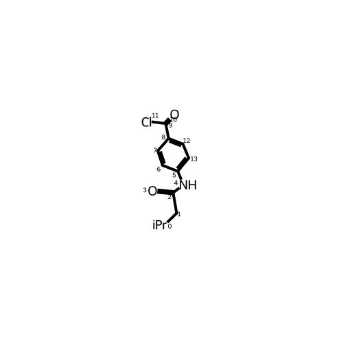 CC(C)CC(=O)Nc1ccc(C(=O)Cl)cc1